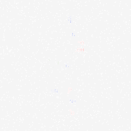 O=C1CCC(Nc2ccc(N3CCC(O)(CC(=O)N4CCNCC4)CC3)c(C(F)(F)F)c2)C(=O)N1